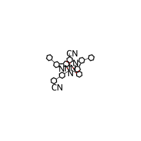 N#Cc1cccc(-c2ccc(-c3nc(-c4ccccc4)nc(-c4ccc(C#N)cc4-n4c5ccccc5c5cc(-c6ccccc6)ccc54)n3)c(-n3c4ccccc4c4cc(-c5ccccc5)ccc43)c2)c1